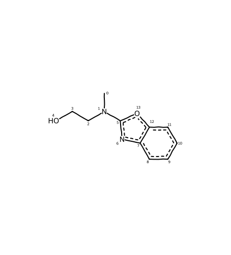 CN(CCO)c1nc2ccccc2o1